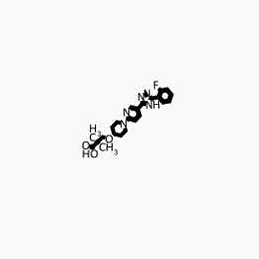 CC(C)(COC1CCN(c2ccc(-c3nnc(-c4ccccc4F)[nH]3)cn2)CC1)C(=O)O